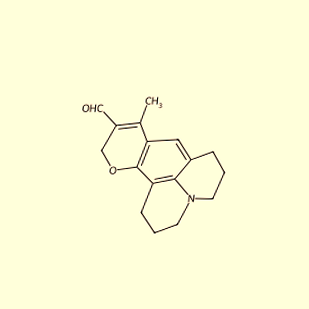 CC1=C(C=O)COc2c1cc1c3c2CCCN3CCC1